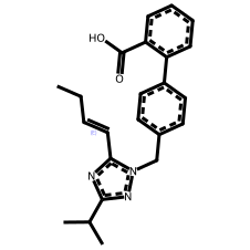 CC/C=C/c1nc(C(C)C)nn1Cc1ccc(-c2ccccc2C(=O)O)cc1